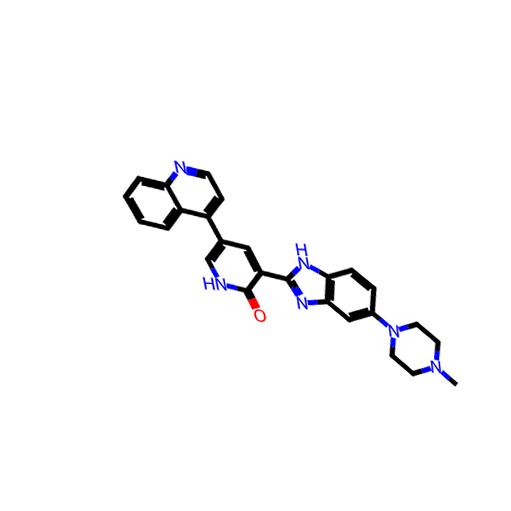 CN1CCN(c2ccc3[nH]c(-c4cc(-c5ccnc6ccccc56)c[nH]c4=O)nc3c2)CC1